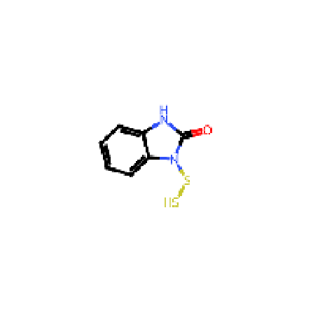 O=c1[nH]c2ccccc2n1SS